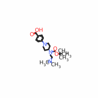 CN(C)CCN(C(=O)OC(C)(C)C)C1CCN(c2ccc(C(=O)O)cc2)CC1